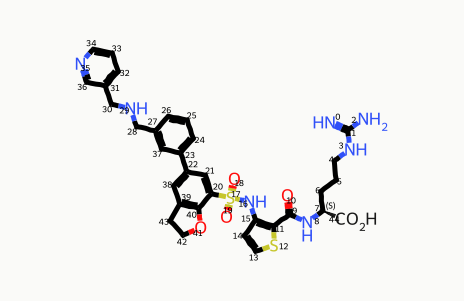 N=C(N)NCCC[C@H](NC(=O)c1sccc1NS(=O)(=O)c1cc(-c2cccc(CNCc3cccnc3)c2)cc2c1OCC2)C(=O)O